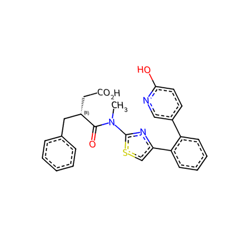 CN(C(=O)[C@@H](CC(=O)O)Cc1ccccc1)c1nc(-c2ccccc2-c2ccc(O)nc2)cs1